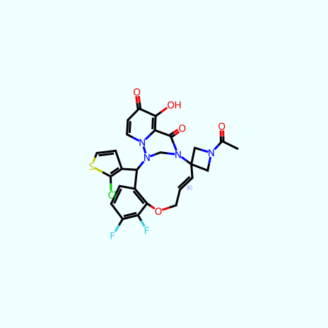 CC(=O)N1CC2(/C=C/COc3c(ccc(F)c3F)C(c3ccsc3Cl)N3CN2C(=O)c2c(O)c(=O)ccn23)C1